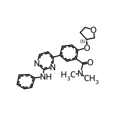 CN(C)C(=O)c1cc(-c2ccnc(Nc3ccccc3)n2)ccc1O[C@H]1CCOC1